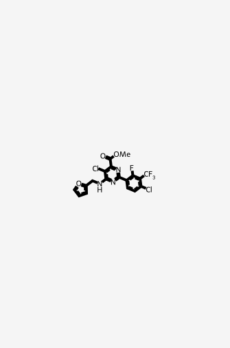 COC(=O)c1nc(-c2ccc(Cl)c(C(F)(F)F)c2F)nc(NCc2ccco2)c1Cl